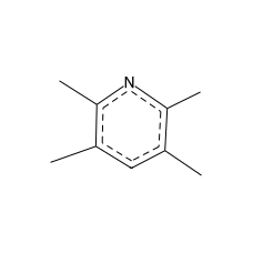 Cc1cc(C)c(C)nc1C